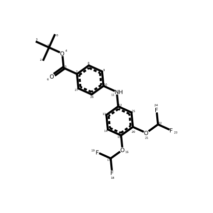 CC(C)(C)OC(=O)c1ccc(Nc2ccc(OC(F)F)c(OC(F)F)c2)cc1